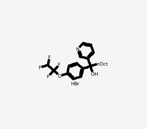 Br.CCCCCCCCC(O)(c1ccc(OC(F)(F)C(F)F)cc1)c1cccnc1